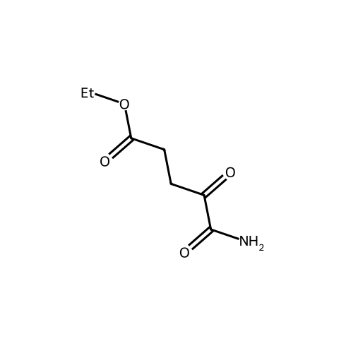 CCOC(=O)CCC(=O)C(N)=O